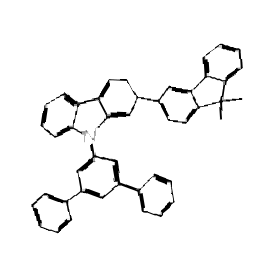 CC1(C)c2ccccc2-c2cc(C3C=c4c(c5ccccc5n4-c4cc(-c5ccccc5)cc(-c5ccccc5)c4)=CC3)ccc21